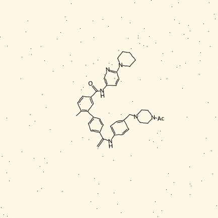 C=C(Nc1ccc(CN2CCN(C(C)=O)CC2)cc1)c1ccc(-c2cc(C(=O)Nc3ccc(N4CCCCC4)nc3)ccc2C)cc1